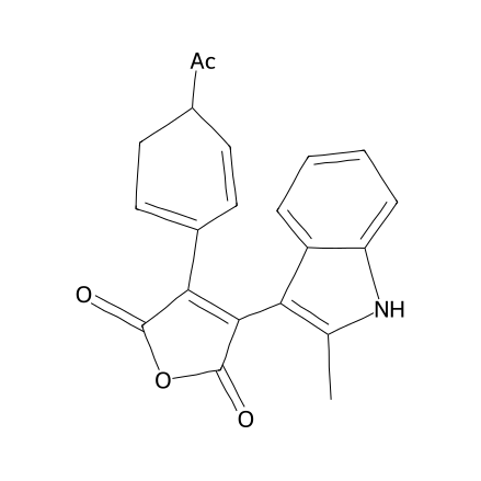 CC(=O)C1C=CC(C2=C(c3c(C)[nH]c4ccccc34)C(=O)OC2=O)=CC1